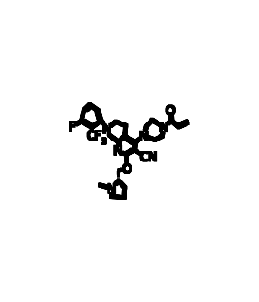 C=CC(=O)N1CCN(c2c(C#N)c(OC[C@@H]3CCCN3C)nc3c2CCN(c2cccc(F)c2C(F)(F)F)C3)CC1